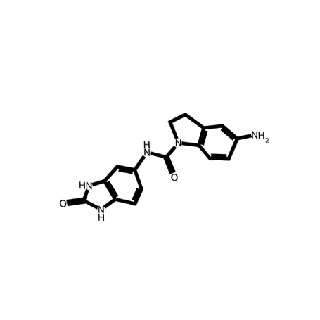 Nc1ccc2c(c1)CCN2C(=O)Nc1ccc2[nH]c(=O)[nH]c2c1